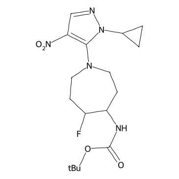 CC(C)(C)OC(=O)NC1CCN(c2c([N+](=O)[O-])cnn2C2CC2)CCC1F